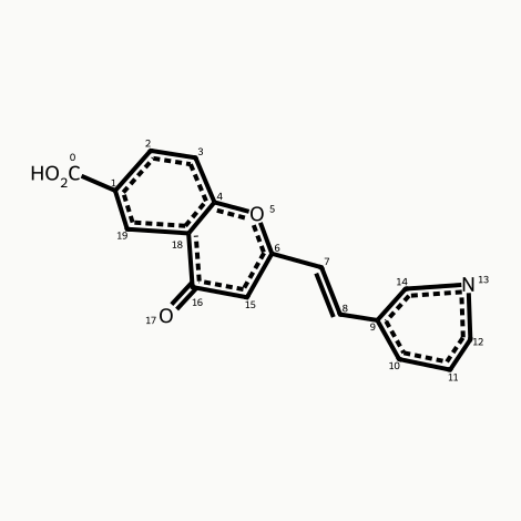 O=C(O)c1ccc2oc(C=Cc3cccnc3)cc(=O)c2c1